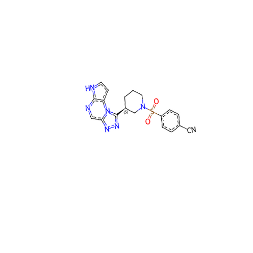 N#Cc1ccc(S(=O)(=O)N2CCC[C@H](c3nnc4cnc5[nH]ccc5n34)C2)cc1